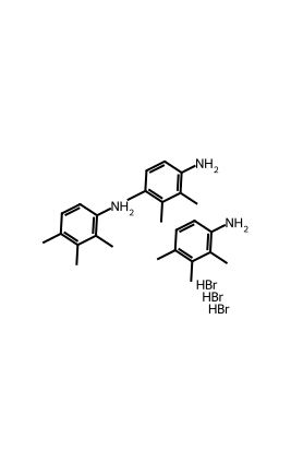 Br.Br.Br.Cc1ccc(N)c(C)c1C.Cc1ccc(N)c(C)c1C.Cc1ccc(N)c(C)c1C